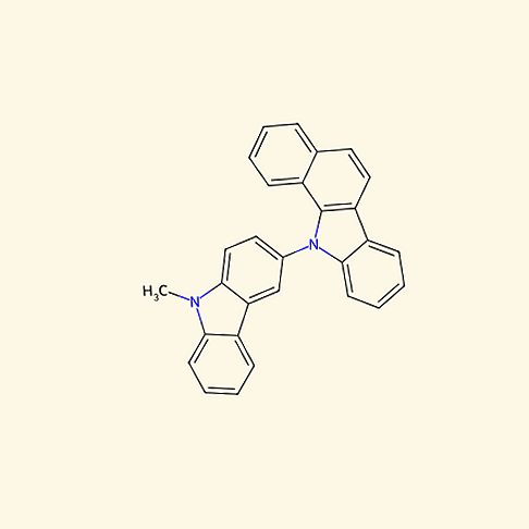 Cn1c2ccccc2c2cc(-n3c4ccccc4c4ccc5ccccc5c43)ccc21